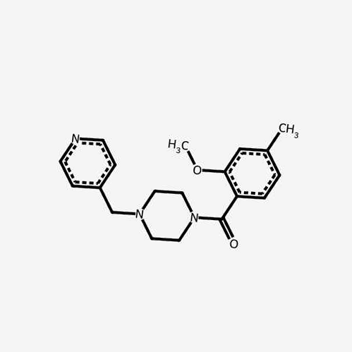 COc1cc(C)ccc1C(=O)N1CCN(Cc2ccncc2)CC1